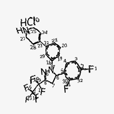 Cl.Fc1ccc(C2CC(C(F)(F)C(F)(F)F)=NN2c2cccc(C3=CCNCC3)c2)c(F)c1